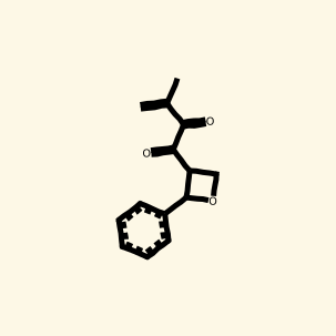 C=C(C)C(=O)C(=O)C1COC1c1ccccc1